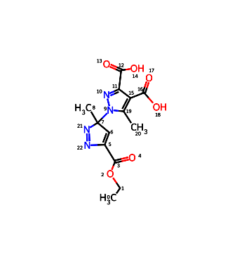 CCOC(=O)C1=CC(C)(n2nc(C(=O)O)c(C(=O)O)c2C)N=N1